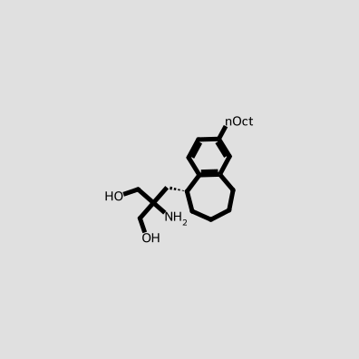 CCCCCCCCc1ccc2c(c1)CCCC[C@@H]2CC(N)(CO)CO